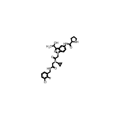 CC(O)c1nn(CC(=O)N(CC(=O)NCc2cccc(Cl)c2F)C2CC2)c2ccc(NC(=O)C3CCCN3)cc12